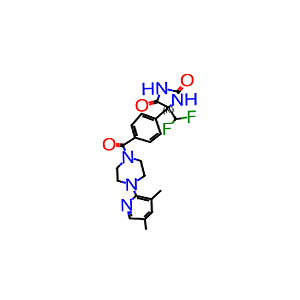 Cc1cnc(N2CCN(C(=O)c3ccc([C@@]4(C(F)F)NC(=O)NC4=O)cc3)CC2)c(C)c1